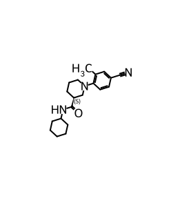 Cc1cc(C#N)ccc1N1CCC[C@H](C(=O)NC2CCCCC2)C1